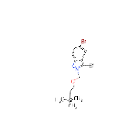 CCc1c2cc(Br)ccc2nn1COCC[Si](C)(C)C